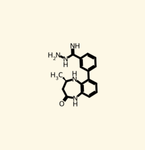 C[C@@H]1CC(=O)Nc2cccc(-c3cccc(C(=N)NN)c3)c2N1